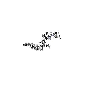 C=C/C(O)=C(\C=C(/C)NC(=O)c1cnc([C@@H](C)NC(=O)c2cc(N3CCN(CCCC)CC3)ncn2)s1)C(F)(F)F